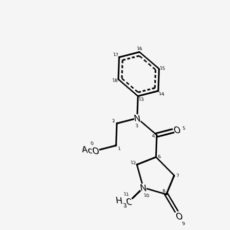 CC(=O)OCCN(C(=O)C1CC(=O)N(C)C1)c1ccccc1